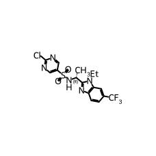 CCn1c([C@@H](C)NS(=O)(=O)c2cnc(Cl)nc2)nc2ccc(C(F)(F)F)cc21